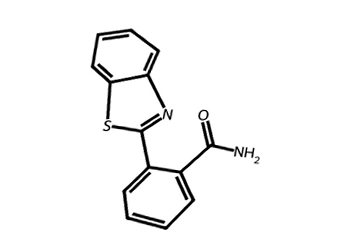 NC(=O)c1ccccc1-c1nc2ccccc2s1